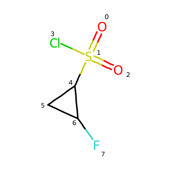 O=S(=O)(Cl)C1CC1F